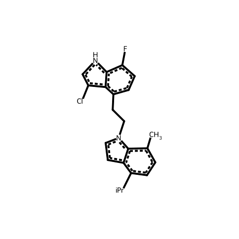 Cc1ccc(C(C)C)c2ccn(CCc3ccc(F)c4[nH]cc(Cl)c34)c12